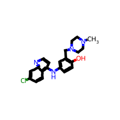 CN1CCN(Cc2cc(Nc3ccnc4cc(Cl)ccc34)ccc2O)CC1